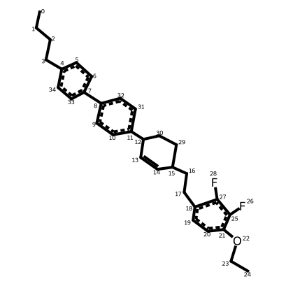 CCCCc1ccc(-c2ccc(C3C=CC(CCc4ccc(OCC)c(F)c4F)CC3)cc2)cc1